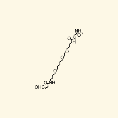 NC(=O)CNC(=O)CCCCOCCOCCCCCOCCCCNC(=O)/C=C\C=O